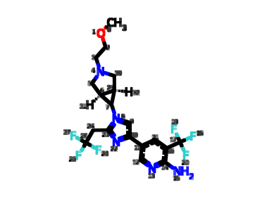 COCCN1C[C@@H]2C(n3cc(-c4cnc(N)c(C(F)(F)F)c4)nc3CC(F)(F)F)[C@@H]2C1